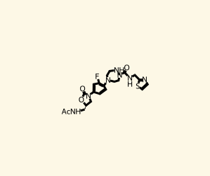 CC(=O)NC[C@H]1CN(c2ccc(N3CCNN(C(=O)NCc4nccs4)CC3)c(F)c2)C(=O)O1